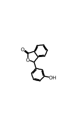 O=C1OC(c2cccc(O)c2)c2ccccc21